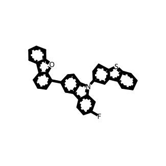 Fc1ccc2c3cc(-c4cccc5c4oc4ccccc45)ccc3n(-c3ccc4sc5ccccc5c4c3)c2c1